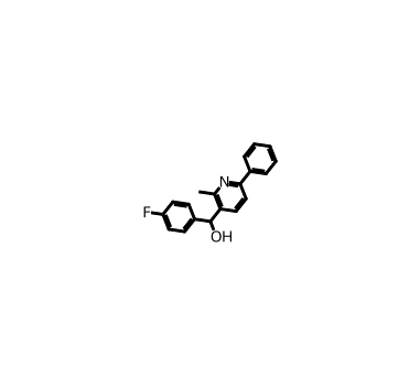 Cc1nc(-c2ccccc2)ccc1C(O)c1ccc(F)cc1